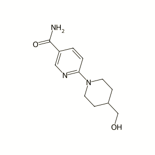 NC(=O)c1ccc(N2CCC(CO)CC2)nc1